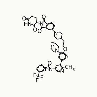 Cc1ncc(NC(=O)c2cccc(C(F)(F)F)c2)cc1-c1cnc(OCCC2CCN(c3ccc4c(c3)C(=O)N(C3CCC(=O)NC3=O)C4=O)CC2)c(N2CCOCC2)c1